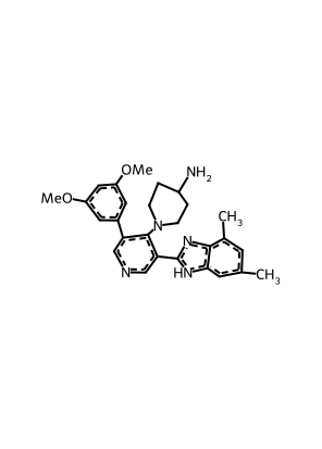 COc1cc(OC)cc(-c2cncc(-c3nc4c(C)cc(C)cc4[nH]3)c2N2CCC(N)CC2)c1